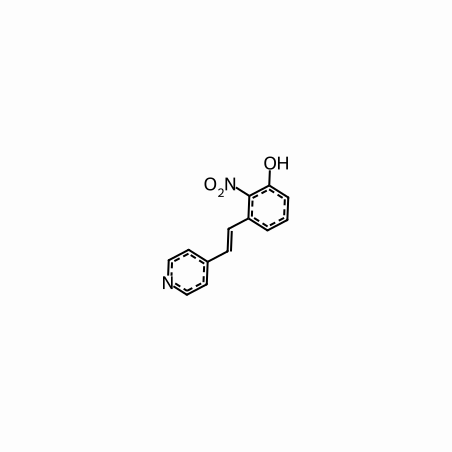 O=[N+]([O-])c1c(O)cccc1/C=C/c1ccncc1